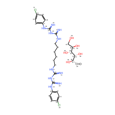 N=C(NCCCCCCNC(=N)NC(=N)Nc1ccc(Cl)cc1)NC(=N)Nc1ccc(Cl)cc1.O=C[C@H](O)[C@@H](O)[C@H](O)[C@H](O)CO